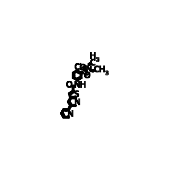 CCN(CC)S(=O)(=O)c1cc(NC(=O)c2cc3cc(-c4ccccn4)cnc3s2)ccc1Cl